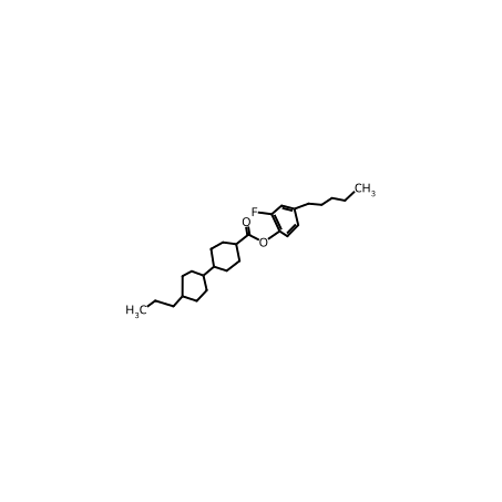 CCCCCc1ccc(OC(=O)C2CCC(C3CCC(CCC)CC3)CC2)c(F)c1